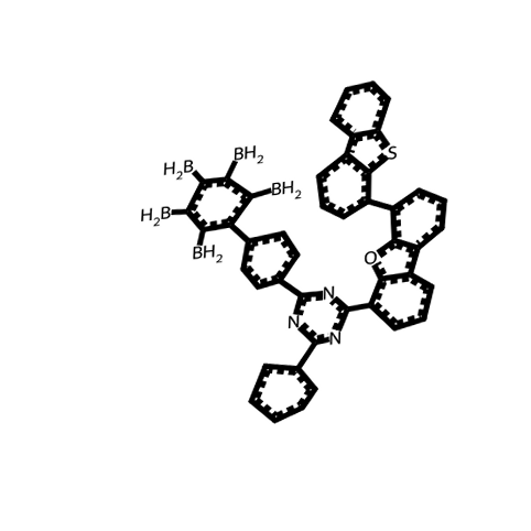 Bc1c(B)c(B)c(-c2ccc(-c3nc(-c4ccccc4)nc(-c4cccc5c4oc4c(-c6cccc7c6sc6ccccc67)cccc45)n3)cc2)c(B)c1B